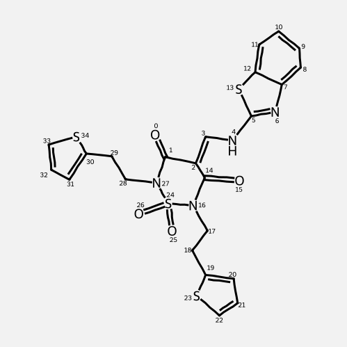 O=C1C(=CNc2nc3ccccc3s2)C(=O)N(CCc2cccs2)S(=O)(=O)N1CCc1cccs1